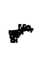 O=C(O)C1(F)CCC(O)CN1S(=O)(=O)c1ccc(OCc2cc(F)ccc2C(F)(F)F)cc1